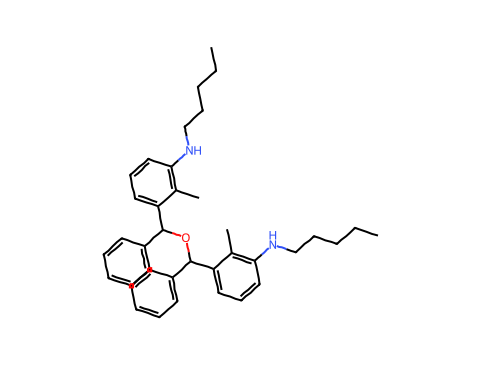 CCCCCNc1cccc(C(OC(c2ccccc2)c2cccc(NCCCCC)c2C)c2ccccc2)c1C